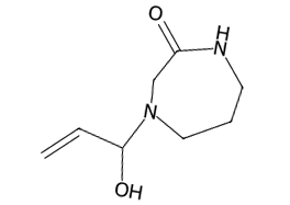 C=CC(O)N1CCCNC(=O)C1